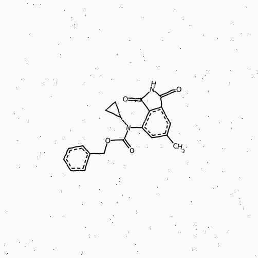 Cc1cc2c(c(N(C(=O)OCc3ccccc3)C3CC3)c1)C(=O)NC2=O